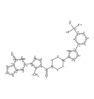 Cc1c(C(=O)N2CCN(c3nc(-c4cccc(C(F)(F)F)c4)cs3)CC2)cnn1-c1nn2cccc2c(=O)[nH]1